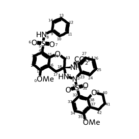 COc1ccc(S(=O)(=O)Nc2ccccc2)c2c1C[C@@](NC(=O)O)(NN(c1ccccc1)S(=O)(=O)c1ccc(OC)c3c1OCCC3)CO2